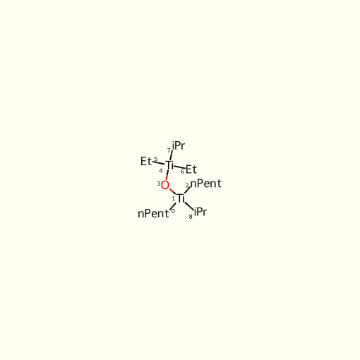 CCCC[CH2][Ti]([CH2]CCCC)([O][Ti]([CH2]C)([CH2]C)[CH](C)C)[CH](C)C